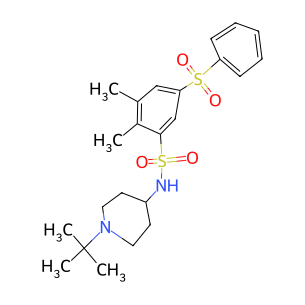 Cc1cc(S(=O)(=O)c2ccccc2)cc(S(=O)(=O)NC2CCN(C(C)(C)C)CC2)c1C